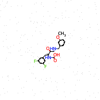 COc1cccc(CNCC(=O)[C@H](Cc2cc(F)cc(F)c2)NC(=O)O)c1